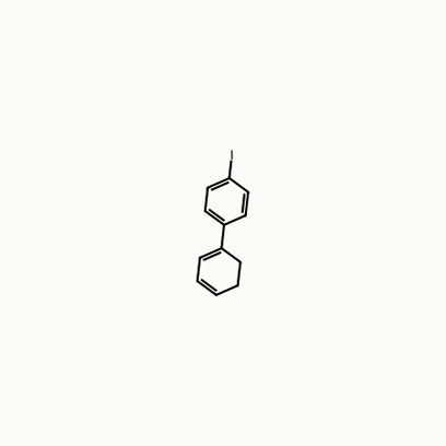 Ic1ccc(C2=CC=CCC2)cc1